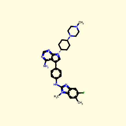 Cc1cc2c(cc1F)nc(Nc1ccc(-c3cn([C@H]4CC[C@H](N5CCN(C)CC5)CC4)c4ncnc(N)c34)cc1)n2C